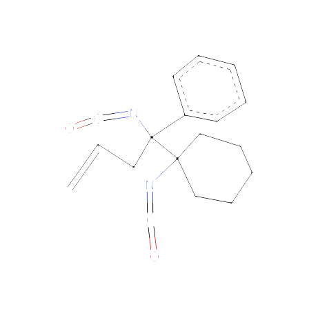 C=CCC(N=C=O)(c1ccccc1)C1(N=C=O)CCCCC1